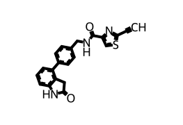 C#Cc1nc(C(=O)NCc2ccc(-c3cccc4c3CC(=O)N4)cc2)cs1